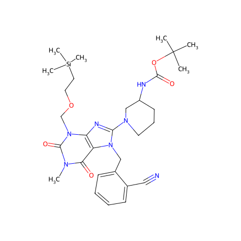 Cn1c(=O)c2c(nc(N3CCCC(NC(=O)OC(C)(C)C)C3)n2Cc2ccccc2C#N)n(COCC[Si](C)(C)C)c1=O